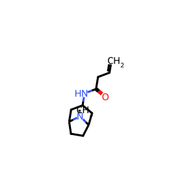 C=CCC(=O)NC1CC2CCC(C1)N2C